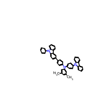 Cc1cc(C)cc(N(c2ccc(-c3ccc4c(c3)c3ccccc3n4-c3ccccc3)cc2)c2ccc(-n3c4ccccc4c4ccccc43)cc2)c1